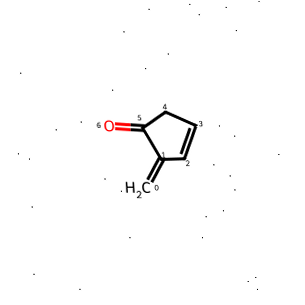 C=C1C=CCC1=O